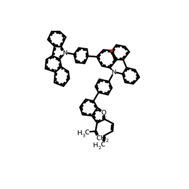 C=C/C=C\c1oc2c(-c3ccc(N(c4cccc(-c5ccc(-n6c7ccccc7c7ccc8ccccc8c76)cc5)c4)c4ccccc4-c4ccccc4)cc3)cccc2c1C(=C)C